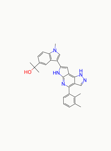 Cc1cccc(-c2nc3[nH]c(-c4cn(C)c5ccc(C(C)(C)O)cc45)cc3c3[nH]ncc23)c1C